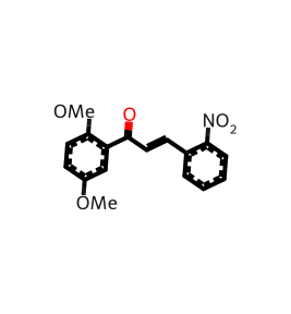 COc1ccc(OC)c(C(=O)C=Cc2ccccc2[N+](=O)[O-])c1